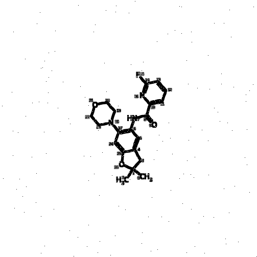 CC1(C)Cc2cc(NC(=O)c3cccc(F)n3)c(N3CCOCC3)cc2O1